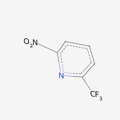 O=[N+]([O-])c1cccc(C(F)(F)F)n1